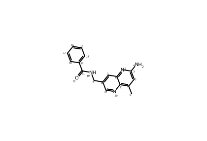 Cc1cc(N)nc2cc(CNC(=O)c3ccccc3)cnc12